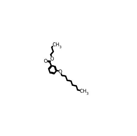 CCCCCCCCOc1cccc(C(=O)OCCCC)c1